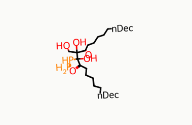 CCCCCCCCCCCCCCCC(=O)C(O)(CO)C(O)(PP)C(=O)CCCCCCCCCCCCCCC